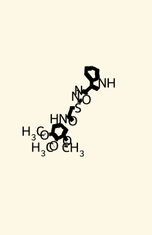 COc1cc(NC(=O)CSc2nnc(-c3c[nH]c4ccccc34)o2)cc(OC)c1OC